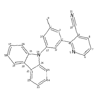 Cc1cc(-c2ncccc2C#N)cc(-n2c3ccccc3c3ccccc32)c1